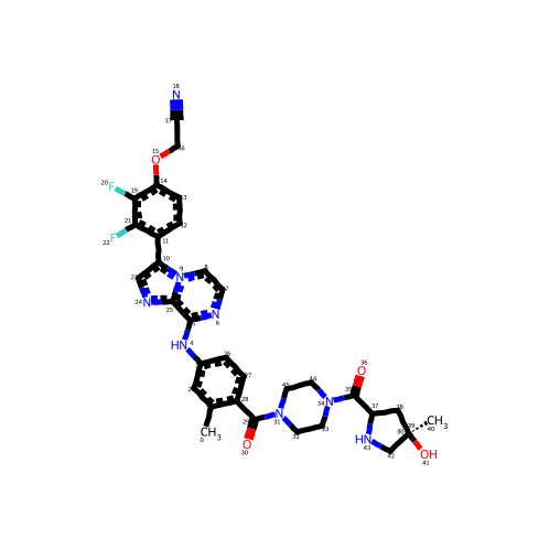 Cc1cc(Nc2nccn3c(-c4ccc(OCC#N)c(F)c4F)cnc23)ccc1C(=O)N1CCN(C(=O)C2C[C@@](C)(O)CN2)CC1